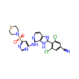 N#Cc1cc(Cl)c(-c2nc3ccnc(Nc4cc(S(=O)(=O)N5CCSCC5)ncn4)c3[nH]2)c(Cl)c1